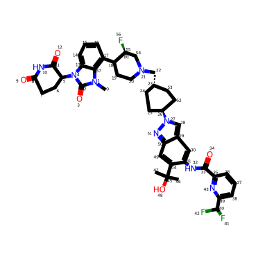 Cn1c(=O)n(C2CCC(=O)NC2=O)c2cccc(C3CCN(C[C@H]4CC[C@H](n5cc6cc(NC(=O)c7cccc(C(F)F)n7)c(C(C)(C)O)cc6n5)CC4)C[C@@H]3F)c21